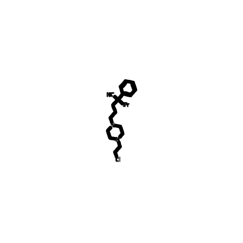 CC(C)C(C#N)(CCCN1CCN(CCCl)CC1)c1ccccc1